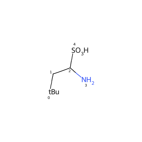 CC(C)(C)CC(N)S(=O)(=O)O